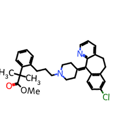 COC(=O)C(C)(C)c1ccccc1CCCN1CCC(=C2c3ccc(Cl)cc3CCc3cccnc32)CC1